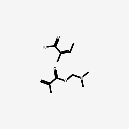 C=C(C)C(=O)OCN(C)C.CC=C(C)C(=O)O